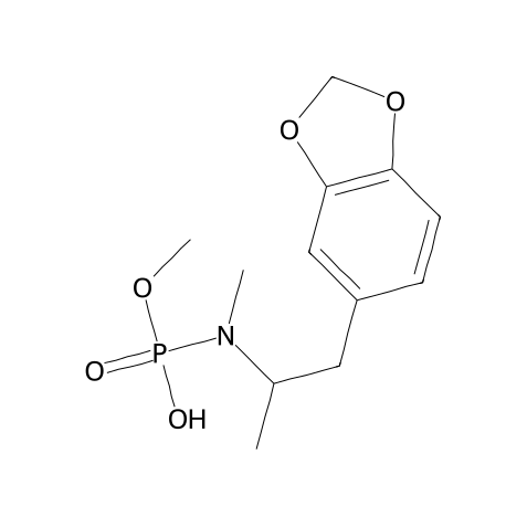 COP(=O)(O)N(C)C(C)Cc1ccc2c(c1)OCO2